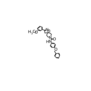 COc1cccc(C2=NOC3(CCN(C(=O)Nc4ccc(OCc5ccccc5)cc4)CC3)C2)c1